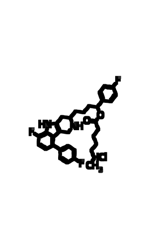 CCCCCCC(=O)OC(CCCC1Cc2[nH]c3c(F)ccc(-c4ccc(F)cc4)c3c2CN1)c1ccc(F)cc1.Cl